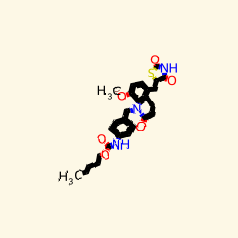 CCCCCOC(=O)Nc1ccc(CN2C(=O)CCc3c(CC4SC(=O)NC4=O)ccc(OC)c32)cc1